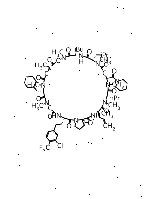 C=CC[C@@]1(C)NC(=O)[C@@H]2CCCN2C(=O)[C@H](CCc2ccc(C(F)(F)F)c(Cl)c2)NC(=O)CN(C)C(=O)[C@H](CC2CCCCC2)N(C)C(=O)CN(C)C(=O)CN(C)C(=O)[C@H]([C@@H](C)CC)NC(=O)[C@H](CC(C)C)N(C)C(=O)C[C@@H](C(=O)N2CCCCC2)N(C)C(=O)[C@H](C(C)C)N(C)C1=O